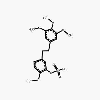 COc1ccc(CCc2cc(OC)c(OC)c(OC)c2)cc1OS(N)(=O)=O